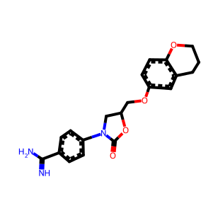 N=C(N)c1ccc(N2CC(COc3ccc4c(c3)CCCO4)OC2=O)cc1